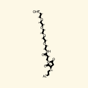 CC(=O)CCSC1CC(=O)N(CCC(=O)NCCOCCOCCOCCOCCC=O)C1=O